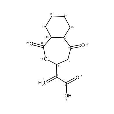 C=C(C(=O)O)C1CC(=O)C2CCCCC2C(=O)O1